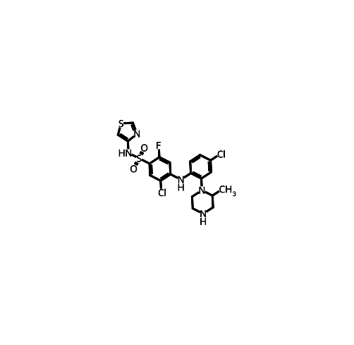 CC1CNCCN1c1cc(Cl)ccc1Nc1cc(F)c(S(=O)(=O)Nc2cscn2)cc1Cl